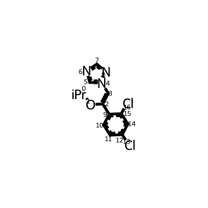 CC(C)OC(=Cn1cncn1)c1ccc(Cl)cc1Cl